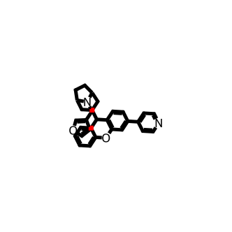 c1ccc2c(c1)Oc1cc(-c3ccncc3)ccc1C2C1CC2CCC(C1)N2Cc1ccoc1